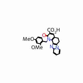 COc1ccc(Cn2c3c(cc(C(=O)O)c2=O)CCc2c-3nc3ccccn23)c(OC)c1